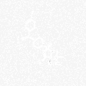 CSC(C)(C)[C@@](O)(NS(=O)(=O)N1CCN(C(=O)c2ccc(Cl)cc2)CC1)C(N)=O